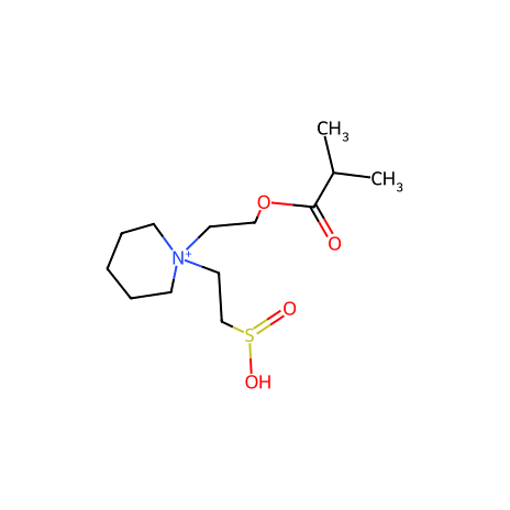 CC(C)C(=O)OCC[N+]1(CCS(=O)O)CCCCC1